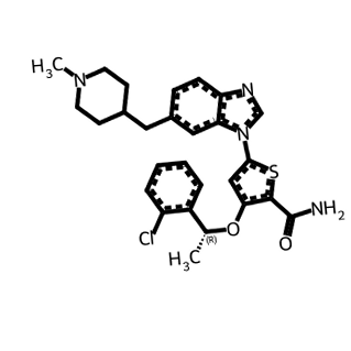 C[C@@H](Oc1cc(-n2cnc3ccc(CC4CCN(C)CC4)cc32)sc1C(N)=O)c1ccccc1Cl